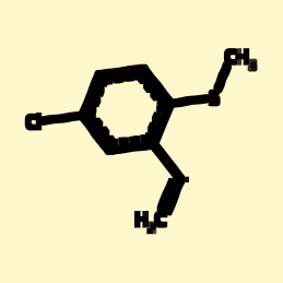 C=[C]c1cc(Cl)ccc1SC